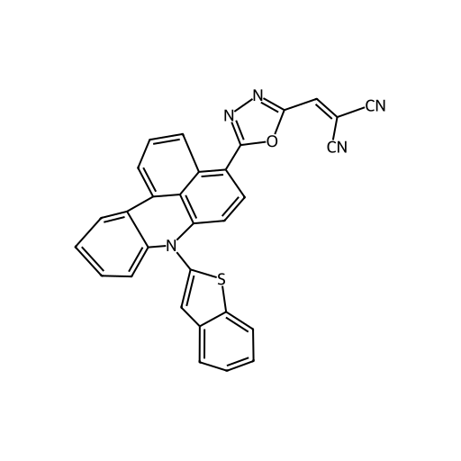 N#CC(C#N)=Cc1nnc(-c2ccc3c4c(cccc24)-c2ccccc2N3c2cc3ccccc3s2)o1